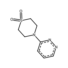 O=S1(=O)CCN(c2cccnn2)CC1